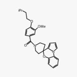 COc1cc(C(=O)N2CCC3(CC2)Oc2ccccc2-n2cccc23)ccc1OCCC(C)C